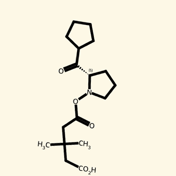 CC(C)(CC(=O)O)CC(=O)ON1CCC[C@H]1C(=O)C1CCCC1